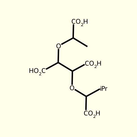 CC(OC(C(=O)O)C(OC(C(=O)O)C(C)C)C(=O)O)C(=O)O